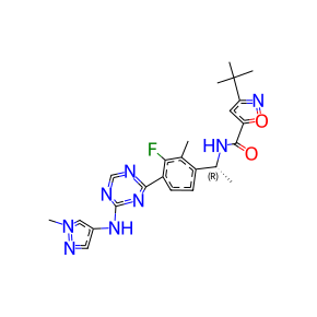 Cc1c([C@@H](C)NC(=O)c2cc(C(C)(C)C)no2)ccc(-c2ncnc(Nc3cnn(C)c3)n2)c1F